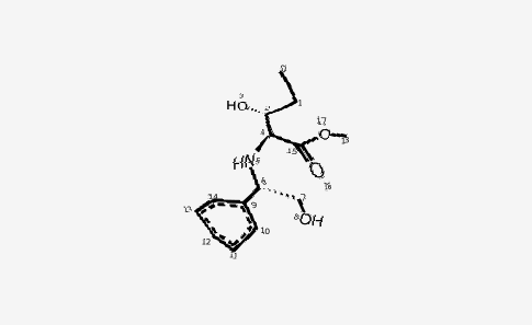 CC[C@@H](O)[C@H](N[C@H](CO)c1ccccc1)C(=O)OC